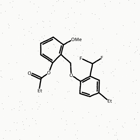 CCC(=O)Oc1cccc(OC)c1COc1ccc(CC)cc1C(F)F